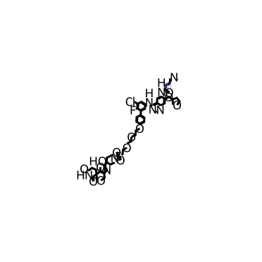 CN(C)C/C=C/C(=O)Nc1cc2c(Nc3cc(Cl)c(F)c(-c4ccc(OCCOCCOCCS(=O)(=O)N5CCC(O)(c6nc7c(o6)C6(CCC(=O)NC6=O)COC7)CC5)cc4)c3)ncnc2cc1OC1CCOC1